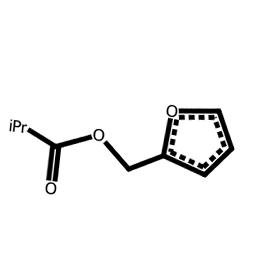 CC(C)C(=O)OCc1ccco1